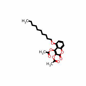 CCCCCCCCCCOc1cccc2oc(=O)c(OC(C)=O)c(OC(C)=O)c12